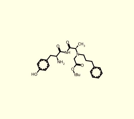 C[C@H](C(=O)NC(=O)[C@@H](N)Cc1ccc(O)cc1)N(CCCc1ccccc1)CC(=O)OC(C)(C)C